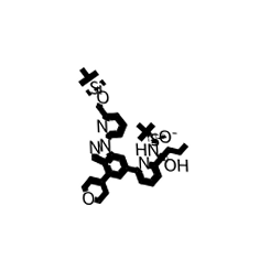 CCC[C@@](O)(N[S@+]([O-])C(C)(C)C)c1cccc(-c2cc(C3=CCOCC3)c3cnn(-c4cccc(CO[Si](C)(C)C(C)(C)C)n4)c3c2)n1